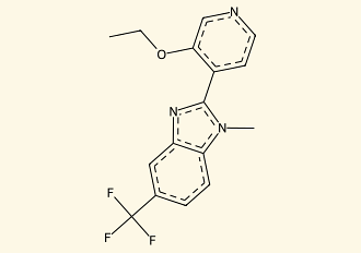 CCOc1cnccc1-c1nc2cc(C(F)(F)F)ccc2n1C